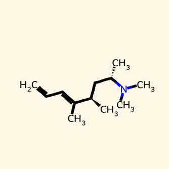 C=C/C=C(\C)[C@H](C)C[C@H](C)N(C)C